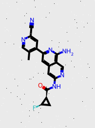 Cc1cnc(C#N)cc1-c1cc2cc(NC(=O)[C@H]3C[C@H]3F)ncc2c(N)n1